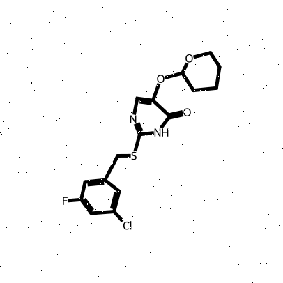 O=c1[nH]c(SCc2cc(F)cc(Cl)c2)ncc1OC1CCCCO1